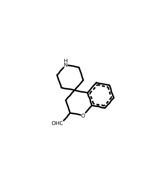 O=CC1CC2(CCNCC2)c2ccccc2O1